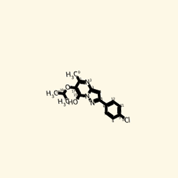 Cc1nc2cc(-c3ccc(Cl)cc3)nn2c(O)c1OC(C)C